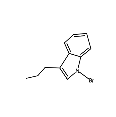 CCCc1cn(Br)c2ccccc12